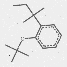 CCC(C)(C)c1ccccc1OC(C)(C)C